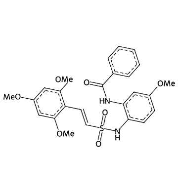 COc1ccc(NS(=O)(=O)C=Cc2c(OC)cc(OC)cc2OC)c(NC(=O)c2ccccc2)c1